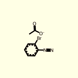 CC(=O)[O-].N#[N+]c1ccccc1Br